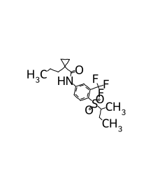 CCCC1(C(=O)Nc2ccc(S(=O)(=O)C(C)CC)c(C(F)(F)F)c2)CC1